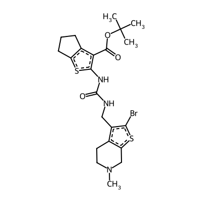 CN1CCc2c(sc(Br)c2CNC(=O)Nc2sc3c(c2C(=O)OC(C)(C)C)CCC3)C1